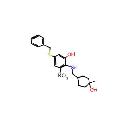 CC1(O)CCC(CNc2c(O)cc(SCc3ccccc3)cc2[N+](=O)[O-])CC1